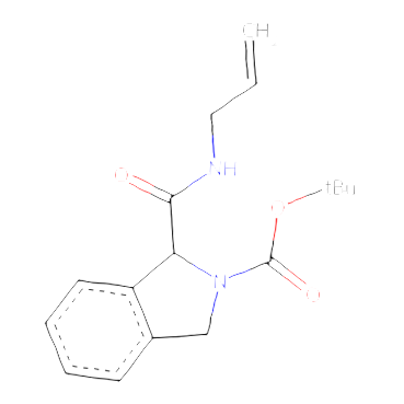 C=CCNC(=O)C1c2ccccc2CN1C(=O)OC(C)(C)C